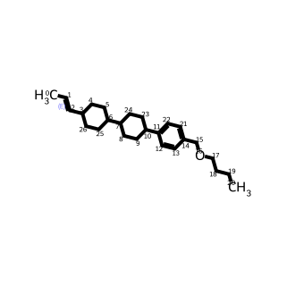 C/C=C/C1CCC(C2CCC(c3ccc(COCCCC)cc3)CC2)CC1